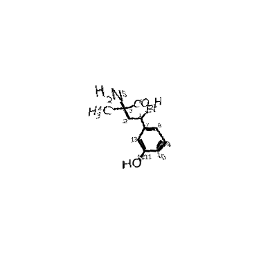 CCC(CC(C)(N)C(=O)O)c1cccc(O)c1